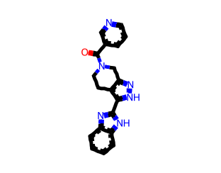 O=C(c1cccnc1)N1CCc2c(n[nH]c2-c2nc3ccccc3[nH]2)C1